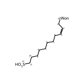 CCCCCCCCCC/C=C\CCCCCCCCS(=O)(=O)O